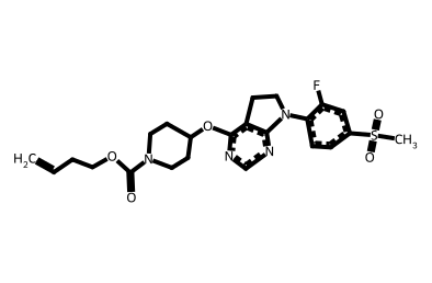 C=CCCOC(=O)N1CCC(Oc2ncnc3c2CCN3c2ccc(S(C)(=O)=O)cc2F)CC1